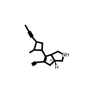 C#CC1=C(C2CC(C#CC)C2C)C2CNC[C@@H]2C1